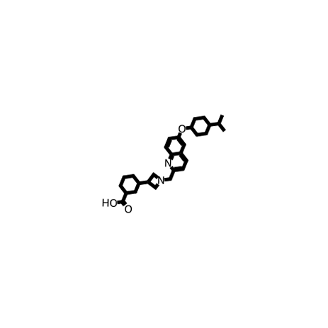 CC(C)C1CCC(Oc2ccc3nc(CN4CC(C5CCCC(C(=O)O)C5)C4)ccc3c2)CC1